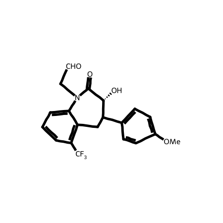 COc1ccc(C2Cc3c(cccc3C(F)(F)F)N(CC=O)C(=O)[C@@H]2O)cc1